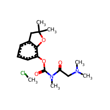 CCl.CN(C)CC(=O)N(C)C(=O)Oc1cccc2c1OC(C)(C)C2